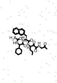 BC(=O)NC(C(=O)N[C@@H](Cc1ccc2ccccc2c1)C(=O)NC(CCC)C(=O)C(=O)NCC(C)=O)C1CCCCC1